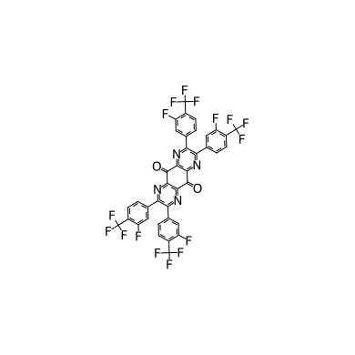 O=C1c2nc(-c3ccc(C(F)(F)F)c(F)c3)c(-c3ccc(C(F)(F)F)c(F)c3)nc2C(=O)c2nc(-c3ccc(C(F)(F)F)c(F)c3)c(-c3ccc(C(F)(F)F)c(F)c3)nc21